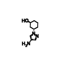 Nc1cnn([C@H]2CCC[C@H](O)C2)c1